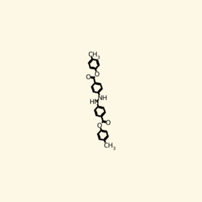 Cc1ccc(OC(=O)c2ccc(NNc3ccc(C(=O)Oc4ccc(C)cc4)cc3)cc2)cc1